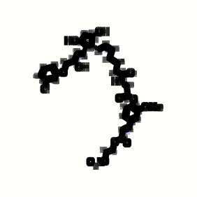 COc1cc(/C=C/C(=O)OCCO[N+](=O)[O-])ccc1OC(=O)CNC(=O)CCC/C=C\C[C@@H]1[C@@H](/C=C/[C@@H](O)COc2cccc(Cl)c2)[C@H](O)C[C@@H]1O